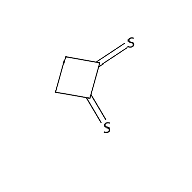 S=C1CCC1=S